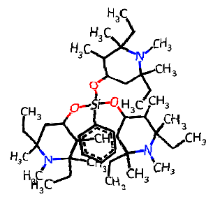 CCC1(C)CC(O[Si](OC2CC(C)(CC)N(C)C(C)(CC)C2C)(OC2CC(C)(CC)N(C)C(C)(CC)C2C)c2ccccc2)C(C)C(C)(CC)N1C